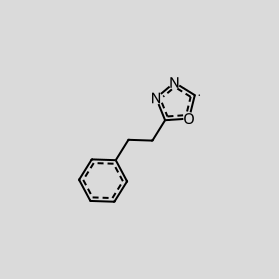 [c]1nnc(CCc2ccccc2)o1